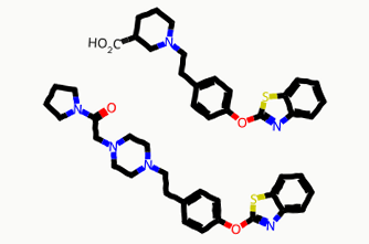 O=C(CN1CCN(CCc2ccc(Oc3nc4ccccc4s3)cc2)CC1)N1CCCC1.O=C(O)C1CCCN(CCc2ccc(Oc3nc4ccccc4s3)cc2)C1